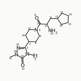 CCn1c(C2CCN(C(=O)C(N)CC3CCCC3)CC2)nn(C)c1=O